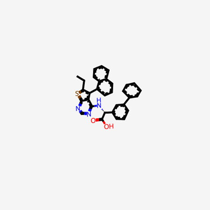 CCc1sc2ncnc(N[C@@H](C(=O)O)c3cccc(-c4ccccc4)c3)c2c1-c1cccc2ccccc12